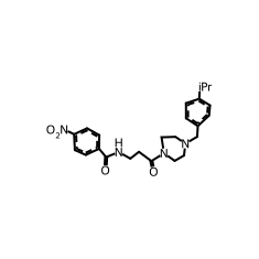 CC(C)c1ccc(CN2CCN(C(=O)CCNC(=O)c3ccc([N+](=O)[O-])cc3)CC2)cc1